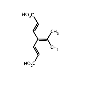 CC(C)=C(C=CC(=O)O)C=CC(=O)O